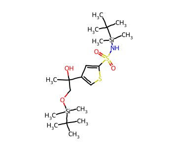 CC(O)(CO[Si](C)(C)C(C)(C)C)c1csc(S(=O)(=O)N[Si](C)(C)C(C)(C)C)c1